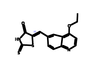 CCOc1ccnc2ccc(/C=C3\SC(=S)NC3=O)cc12